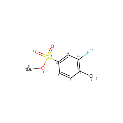 Cc1ccc(S(=O)(=O)OC(C)(C)C)cc1F